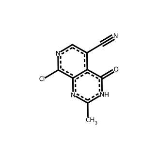 Cc1nc2c(Cl)ncc(C#N)c2c(=O)[nH]1